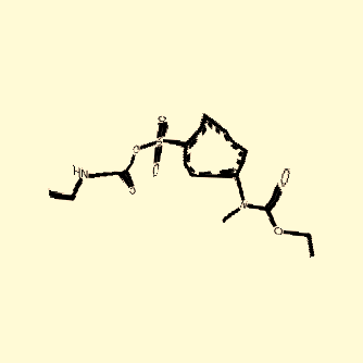 CCNC(=O)OS(=O)(=O)c1cccc(N(C)C(=O)OCC)c1